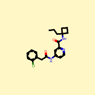 CCCC1(NC(=O)c2cc(NC(=O)Cc3ccccc3Cl)ccn2)CCC1